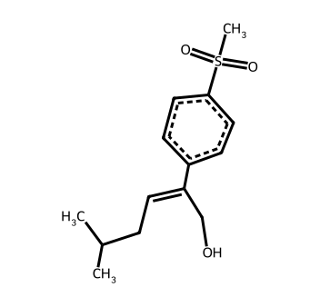 CC(C)CC=C(CO)c1ccc(S(C)(=O)=O)cc1